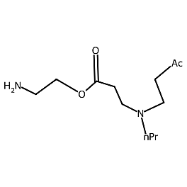 CCCN(CCC(C)=O)CCC(=O)OCCN